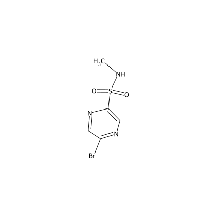 CNS(=O)(=O)c1cnc(Br)cn1